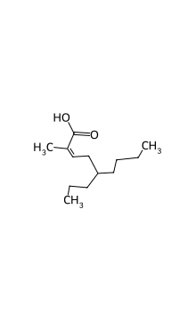 CCCCC(CC=C(C)C(=O)O)CCC